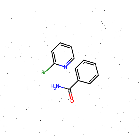 Brc1ccccn1.NC(=O)c1ccccc1